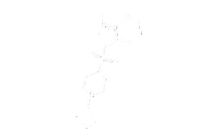 Cn1cc(S(=O)(=O)C2CCN(C3CCC3)CC2)c2ccccc21